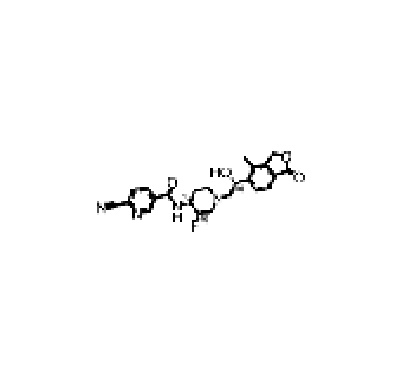 Cc1c([C@@H](O)CN2CC[C@H](NC(=O)c3ccc(C#N)nc3)[C@H](F)C2)ccc2c1COC2=O